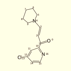 O=C(/C=C/N1CCCCC1)c1cc(Cl)ccn1